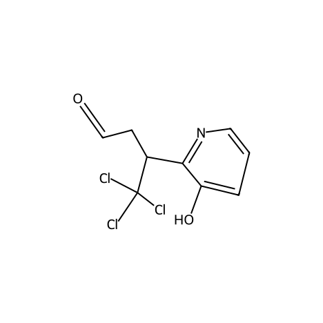 O=CCC(c1ncccc1O)C(Cl)(Cl)Cl